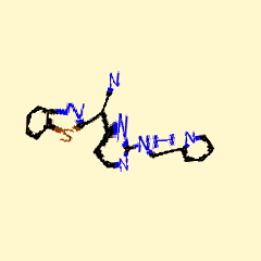 N#CC(c1ccnc(NCc2ccccn2)n1)c1nc2ccccc2s1